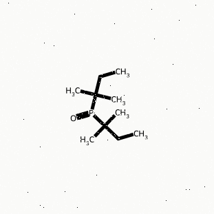 CCC(C)(C)[P](=O)C(C)(C)CC